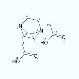 C1CN2CCN1CC2.CC(=O)O.CC(=O)O